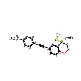 CCCSC1(SCCC)CCOc2ccc(C#Cc3ccc(C(=O)OCC)cc3)cc21